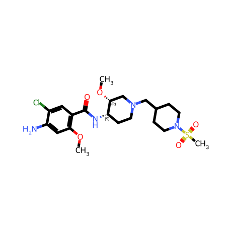 COc1cc(N)c(Cl)cc1C(=O)N[C@H]1CCN(CC2CCN(S(C)(=O)=O)CC2)C[C@H]1OC